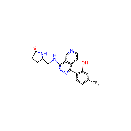 O=C1CCC(CNc2nnc(-c3ccc(C(F)(F)F)cc3O)c3ccncc23)N1